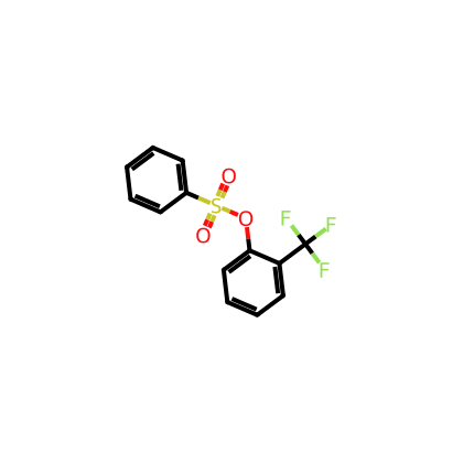 O=S(=O)(Oc1ccccc1C(F)(F)F)c1ccccc1